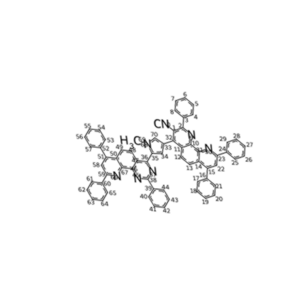 [C-]#[N+]c1c(-c2ccccc2)nc2c(ccc3c(-c4ccccc4)cc(-c4ccccc4)nc32)c1-c1cc(-c2nc(-c3ccccc3)nc3c2ccc2c(-c4ccccc4)cc(-c4ccccc4)nc23)n(C)c1